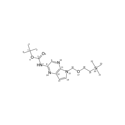 CC(C)(C)OC(=O)Nc1cnc2c(ccn2COCC[Si](C)(C)C)n1